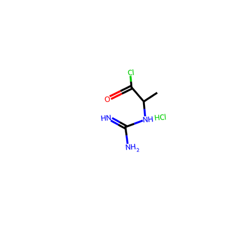 CC(NC(=N)N)C(=O)Cl.Cl